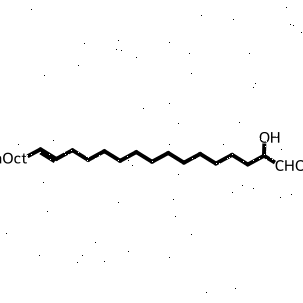 CCCCCCCC/C=C/CCCCCCCCCCCCC(O)[C]=O